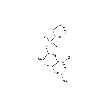 COC(CS(=O)(=O)c1ccccc1)Oc1c(Cl)cc([N+](=O)[O-])cc1Cl